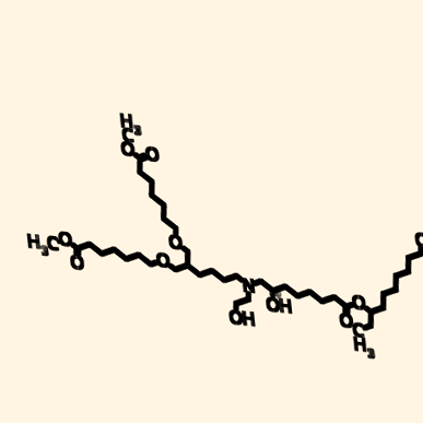 CCCCCCCCC(CC)OC(=O)CCCCC[C@@H](O)CN(CCO)CCCCC(COCCCCCCC(=O)OC)COCCCCCCC(=O)OC